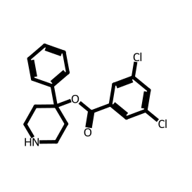 O=C(OC1(c2ccccc2)CCNCC1)c1cc(Cl)cc(Cl)c1